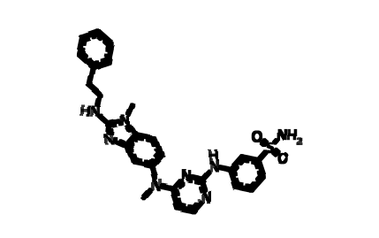 CN(c1ccc2c(c1)nc(NCCc1ccccc1)n2C)c1ccnc(Nc2cccc(S(N)(=O)=O)c2)n1